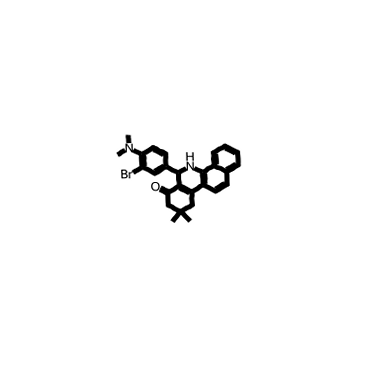 CN(C)c1ccc(C2Nc3c(ccc4ccccc34)C3=C2C(=O)CC(C)(C)C3)cc1Br